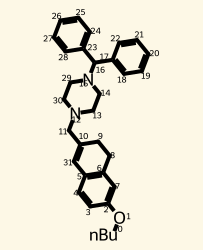 CCCCOc1ccc2c(c1)CCC(CN1CCN(C(c3ccccc3)c3ccccc3)CC1)=C2